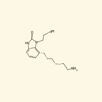 CC(C)CCn1c(=O)[nH]c2cccc(CCCCCCN)c21